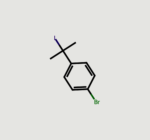 CC(C)(I)c1ccc(Br)cc1